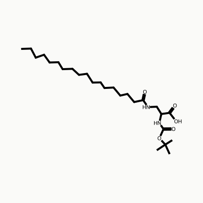 CCCCCCCCCCCCCCCCCC(=O)NCC(NC(=O)OC(C)(C)C)C(=O)O